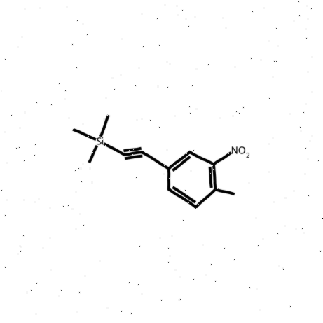 Cc1ccc(C#C[Si](C)(C)C)cc1[N+](=O)[O-]